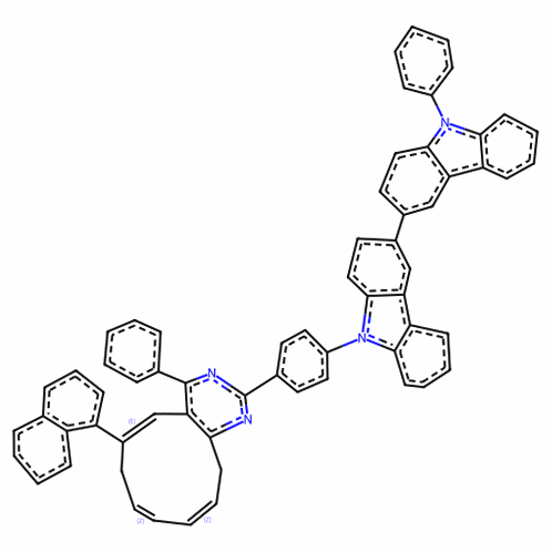 C1=C\C/C(c2cccc3ccccc23)=C\c2c(nc(-c3ccc(-n4c5ccccc5c5cc(-c6ccc7c(c6)c6ccccc6n7-c6ccccc6)ccc54)cc3)nc2-c2ccccc2)C\C=C/1